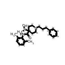 Cc1cccc(C)c1NC(=O)C1(N(C)C)CCN(CCCc2ccccc2)CC1